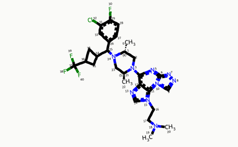 C[C@@H]1CN(c2nc3nncn3c3c2ncn3CCN(C)C)[C@@H](C)CN1C(c1ccc(F)c(Cl)c1)C1CC(C(F)(F)F)C1